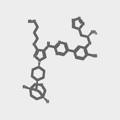 COCCCOc1nn([C@H]2CC[C@H](N3C[C@@H]4CC[C@@H]3COC4)CC2)cc1Nc1ncc(-c2ccc(C#N)c(O[C@@H](C)Cn3cnnn3)c2)cn1